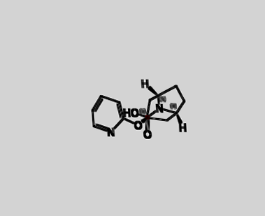 O=C(O)N1[C@@H]2CC[C@H]1C[C@H](Oc1ccccn1)C2